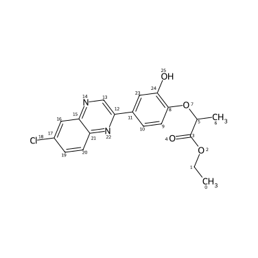 CCOC(=O)C(C)Oc1ccc(-c2cnc3cc(Cl)ccc3n2)cc1O